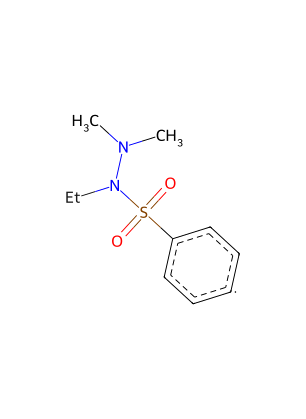 CCN(N(C)C)S(=O)(=O)c1cc[c]cc1